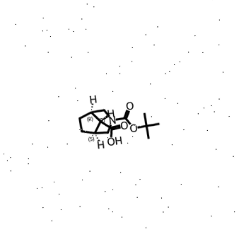 CC(C)(C)OC(=O)N1C[C@H]2CC[C@@H](C1)[C@@H]2C(=O)O